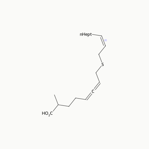 CCCCCCC/C=C\CSCC=C=CCCC(C)C(=O)O